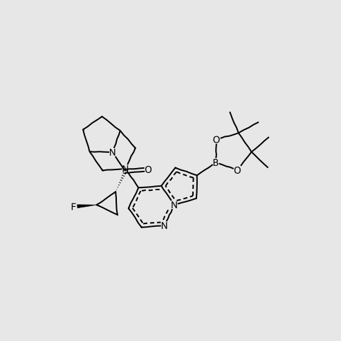 CC1(C)OB(c2cc3c(N4CC5CCC(C4)N5C(=O)[C@@H]4C[C@H]4F)ccnn3c2)OC1(C)C